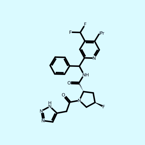 CC(C)c1cnc(C(NC(=O)[C@@H]2C[C@@H](F)CN2C(=O)Cc2cnn[nH]2)c2ccccc2)cc1C(F)F